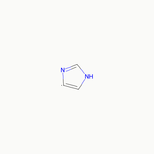 [c]1c[nH]cn1